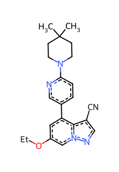 CCOc1cc(-c2ccc(N3CCC(C)(C)CC3)nc2)c2c(C#N)cnn2c1